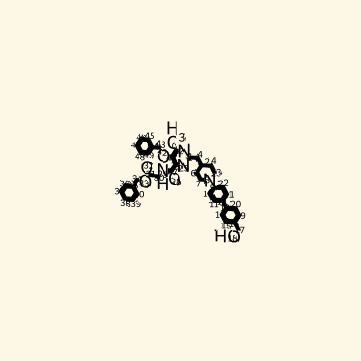 Cc1nc(CC2CCN(c3ccc(-c4ccc(CO)cc4)cc3)CC2)nc(C(=O)NCC(=O)OCc2ccccc2)c1OCc1ccccc1